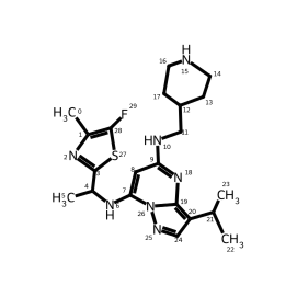 Cc1nc(C(C)Nc2cc(NCC3CCNCC3)nc3c(C(C)C)cnn23)sc1F